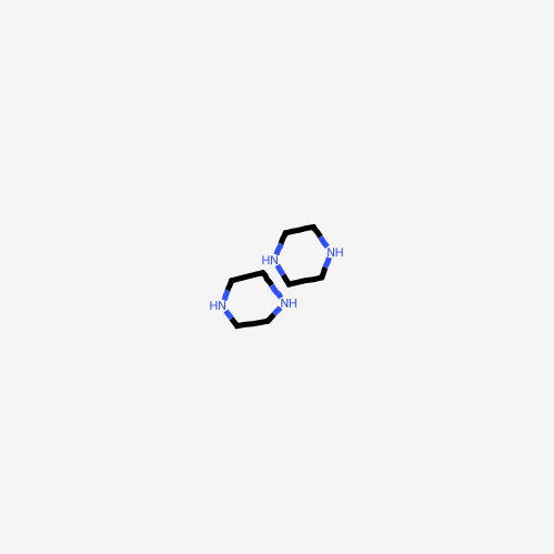 C1CNCCN1.C1CNCCN1